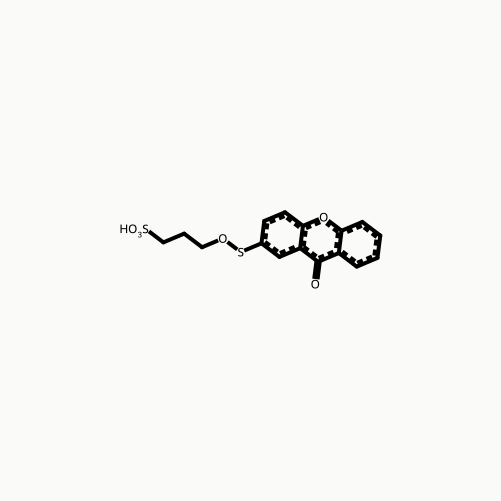 O=c1c2ccccc2oc2ccc(SOCCCS(=O)(=O)O)cc12